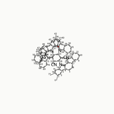 Cc1cc2c3ccc4c5ccccc5sc4c3n(-c3c(C#N)c(-n4c5ccccc5c5ccccc54)c(-n4c5cc(C)c(C)cc5c5ccc6c7ccccc7sc6c54)c(-n4c5ccccc5c5ccccc54)c3C#N)c2cc1C